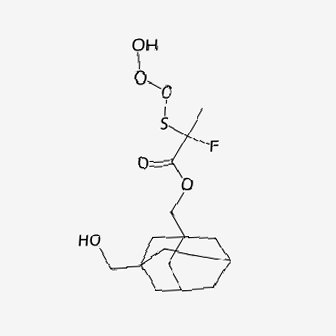 CC(F)(SOOO)C(=O)OCC12CC3CC(CC(CO)(C3)C1)C2